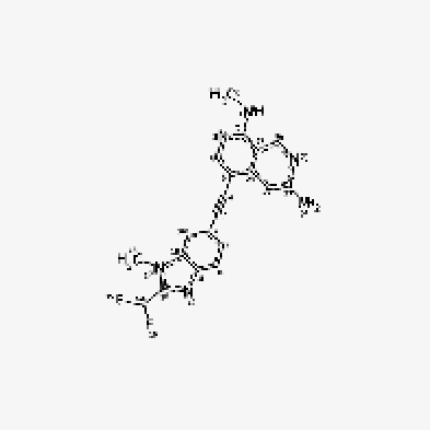 CNc1ncc(C#Cc2ccc3nc(C(F)F)n(C)c3c2)c2cc(N)ncc12